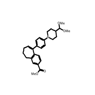 COC(=O)c1ccc2c(c1)CCCC=C2c1ccc(N2CCC(C(OC)OC)CC2)cc1